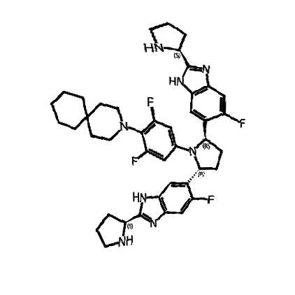 Fc1cc2nc([C@@H]3CCCN3)[nH]c2cc1[C@H]1CC[C@H](c2cc3[nH]c([C@@H]4CCCN4)nc3cc2F)N1c1cc(F)c(N2CCC3(CCCCC3)CC2)c(F)c1